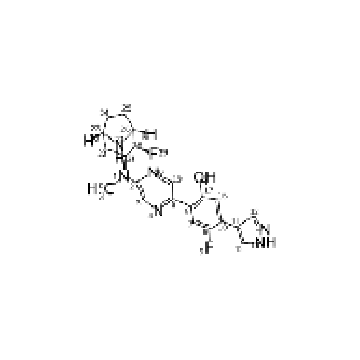 CN(c1cnc(-c2cc(F)c(-c3cn[nH]c3)cc2O)cn1)[C@H]1C[C@@H]2CC[C@@H](N2)[C@H]1F